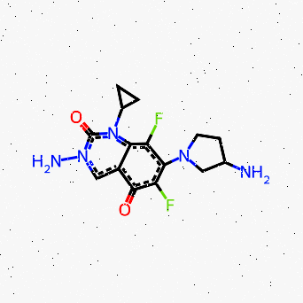 NC1CCN(c2c(F)c3n(C4CC4)c(=O)n(N)cc-3c(=O)c2F)C1